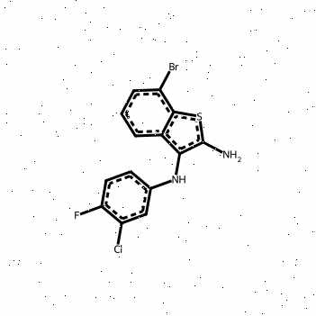 Nc1sc2c(Br)cccc2c1Nc1ccc(F)c(Cl)c1